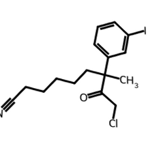 CC(CCCCCC#N)(C(=O)CCl)c1cccc(I)c1